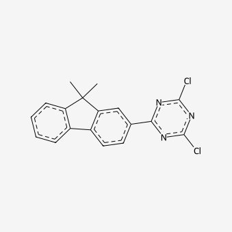 CC1(C)c2ccccc2-c2ccc(-c3nc(Cl)nc(Cl)n3)cc21